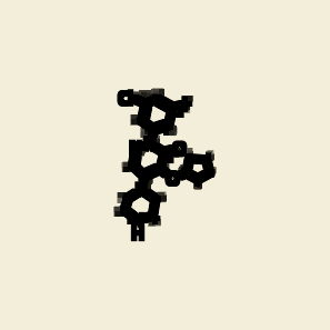 O=c1c(OC2CCCC2)c(N2CCNCC2)cnn1-c1cc(F)cc(Cl)c1